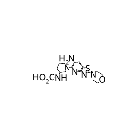 Nc1cc2sc(N3CCOCC3)nc2nc1N1CCCC(NC(=O)O)C1